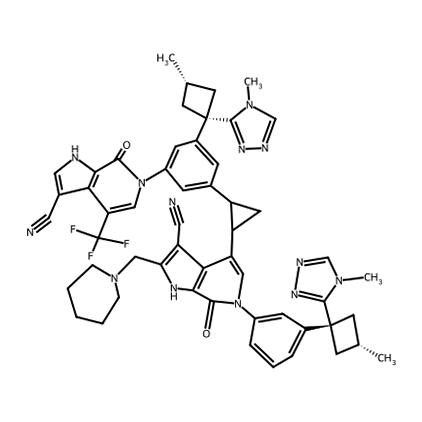 Cn1cnnc1[C@]1(c2cc(C3CC3c3cn(-c4cccc([C@]5(c6nncn6C)C[C@@H](C)C5)c4)c(=O)c4[nH]c(CN5CCCCC5)c(C#N)c34)cc(-n3cc(C(F)(F)F)c4c(C#N)c[nH]c4c3=O)c2)C[C@H](C)C1